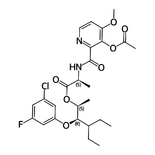 CCC(CC)[C@@H](Oc1cc(F)cc(Cl)c1)[C@H](C)OC(=O)[C@H](C)NC(=O)c1nccc(OC)c1OC(C)=O